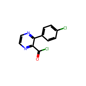 O=C(Cl)c1nccnc1-c1ccc(Cl)cc1